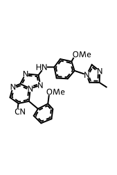 COc1ccccc1-c1c(C#N)cnc2nc(Nc3ccc(-n4cnc(C)c4)c(OC)c3)nn12